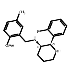 COc1ccc(C)cc1CN[C@@H]1CCCN[C@@H]1c1ccccc1F